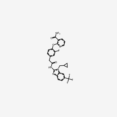 NC(=O)c1cccnc1Oc1ccc(CC(=O)Nc2nc3ccc(C(F)(F)F)cc3n2CC2CC2)cc1F